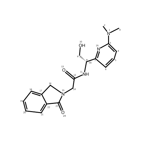 CN(C)c1cccc([C@@H](CO)NC(=O)CN2Cc3ccccc3C2=O)n1